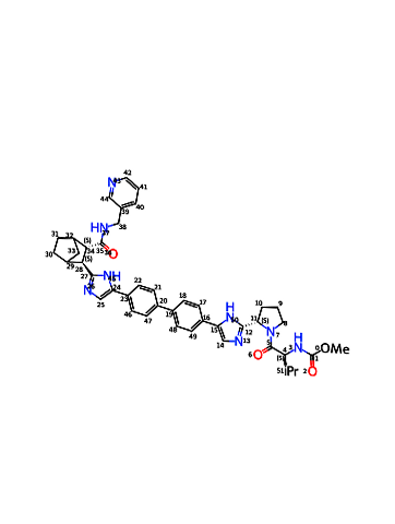 COC(=O)N[C@H](C(=O)N1CCC[C@H]1c1ncc(-c2ccc(-c3ccc(-c4cnc([C@H]5C6CCC(C6)[C@@H]5C(=O)NCc5cccnc5)[nH]4)cc3)cc2)[nH]1)C(C)C